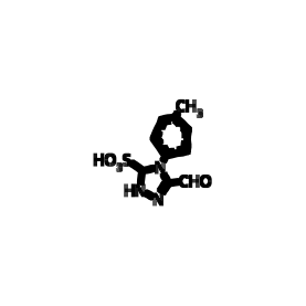 Cc1ccc(N2C(C=O)=NNC2S(=O)(=O)O)cc1